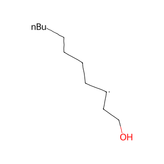 CCCCCCCC[CH]CCO